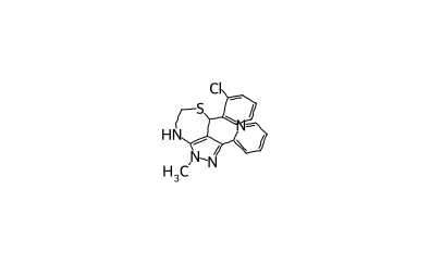 Cn1nc(-c2ccccn2)c2c1NCCSC2c1ccccc1Cl